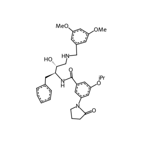 COc1cc(CNC[C@@H](O)[C@H](Cc2ccccc2)NC(=O)c2cc(OC(C)C)cc(N3CCCC3=O)c2)cc(OC)c1